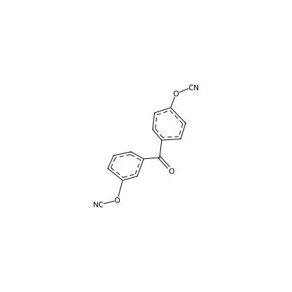 N#COc1ccc(C(=O)c2cccc(OC#N)c2)cc1